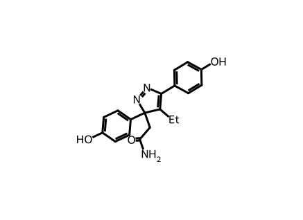 CCC1=C(c2ccc(O)cc2)N=NC1(CC(N)=O)c1ccc(O)cc1